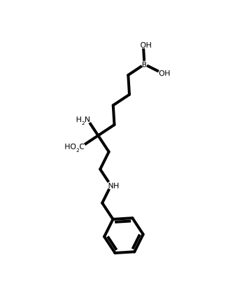 NC(CCCCB(O)O)(CCNCc1ccccc1)C(=O)O